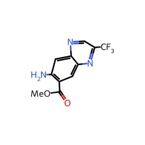 COC(=O)c1cc2nc(C(F)(F)F)cnc2cc1N